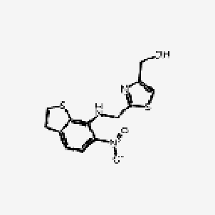 O=[N+]([O-])c1ccc2ccsc2c1NCc1nc(CO)cs1